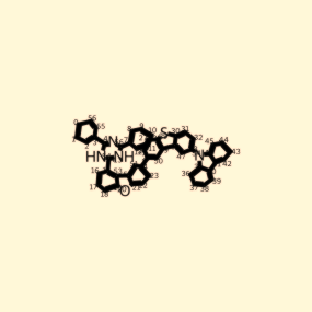 c1ccc(C2=NC(c3ccccc3)NC(c3cccc4oc5ccc(-c6ccc7sc8ccc(-n9c%10ccccc%10c%10ccccc%109)cc8c7c6)cc5c34)N2)cc1